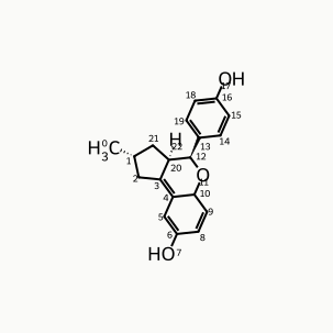 C[C@H]1CC2=C3C=C(O)C=CC3O[C@H](c3ccc(O)cc3)[C@@H]2C1